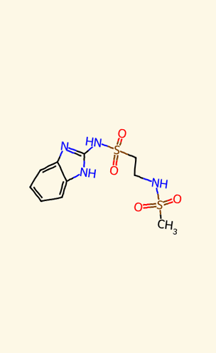 CS(=O)(=O)NCCS(=O)(=O)Nc1nc2ccccc2[nH]1